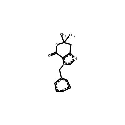 CC1(C)Cc2ncn(Cc3ccccc3)c2C(=O)O1